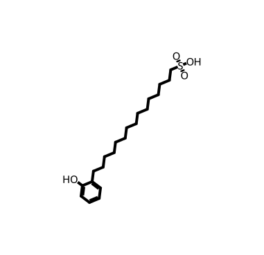 O=S(=O)(O)CCCCCCCCCCCCCCCc1ccccc1O